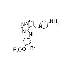 NC1CCN(Cc2ccn3ncnc(Nc4ccc(OC(F)(F)F)c(Br)c4)c23)CC1